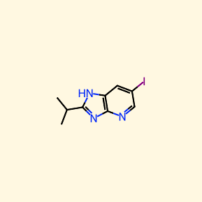 CC(C)c1nc2ncc(I)cc2[nH]1